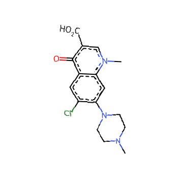 CN1CCN(c2cc3c(cc2Cl)c(=O)c(C(=O)O)cn3C)CC1